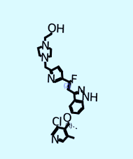 Cc1cncc(Cl)c1[C@@H](C)Oc1ccc2[nH]nc(/C=C(\F)c3ccc(CN4CCN(CCO)CC4)nc3)c2c1